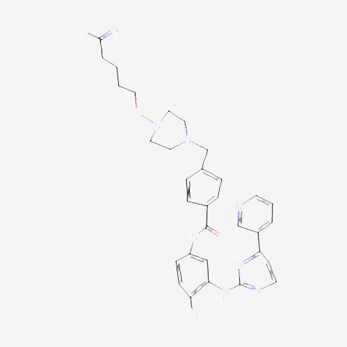 CC(=N)CCCCON1CCN(Cc2ccc(C(=O)Nc3ccc(C)c(Nc4nccc(-c5cccnc5)n4)c3)cc2)CC1